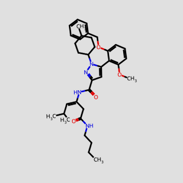 CCCCNC(=O)C/C(=C\C(C)C)NC(=O)c1cc(-c2c(OC)cccc2OCc2ccccc2)n(C2CCC(C)CC2)n1